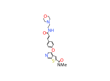 CNC(=O)c1cc2c(Oc3ccc(C=CC(=O)NCCN4CCOCC4)cc3)cncc2s1